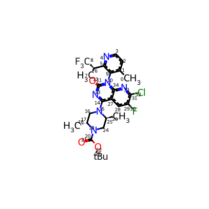 Cc1ccnc([C@@H](C)C(F)(F)F)c1-n1c(=O)nc(N2C[C@@H](C)N(C(=O)OC(C)(C)C)C[C@@H]2C)c2cc(F)c(Cl)nc21